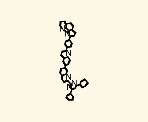 c1ccc(-c2cc(-c3ccccc3)nc(-c3ccc4ccc(-c5ccc6nc(-c7ccc(-c8ccc9ccc%10cccnc%10c9n8)cc7)ccc6c5)cc4n3)n2)cc1